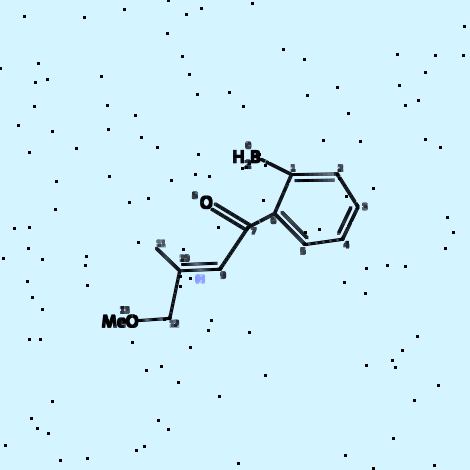 Bc1ccccc1C(=O)/C=C(\C)COC